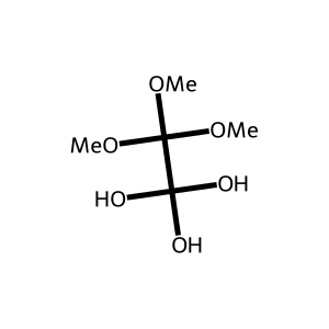 COC(OC)(OC)C(O)(O)O